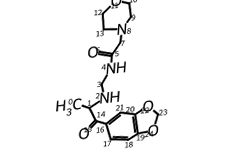 CC(NCNC(=O)CN1CCOCC1)C(=O)c1ccc2c(c1)OCO2